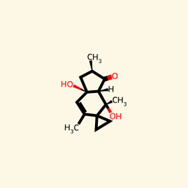 CC1=C[C@]2(O)C[C@@H](C)C(=O)[C@@H]2[C@](C)(O)C12CC2